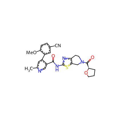 COc1ccc(C#N)cc1-c1cc(C)ncc1C(=O)Nc1nc2c(s1)CN(C(=O)[C@H]1CCCO1)CC2